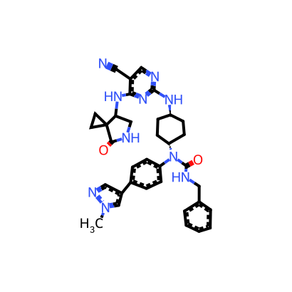 Cn1cc(-c2ccc(N(C(=O)NCc3ccccc3)[C@H]3CC[C@H](Nc4ncc(C#N)c(NC5CNC(=O)C56CC6)n4)CC3)cc2)cn1